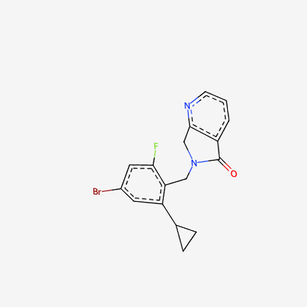 O=C1c2cccnc2CN1Cc1c(F)cc(Br)cc1C1CC1